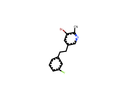 N#Cc1ncc(CCc2cccc(F)c2)cc1Br